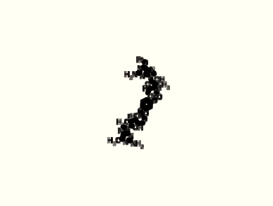 CCOc1nc(N)nc2c1ncn2[C@@H]1O[C@@H]2COP(=O)(Oc3cccc(OP4(=O)OC[C@H]5O[C@@H](n6cnc7c(C)nc(N)nc76)[C@](C)(F)[C@@H]5O4)c3)O[C@H]2[C@@]1(C)O